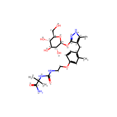 Cc1cc(OCCNC(=O)NC(C)(C)C(N)=O)ccc1Cc1c(O[C@@H]2O[C@H](CO)[C@@H](O)[C@H](O)[C@H]2O)n[nH]c1C(C)C